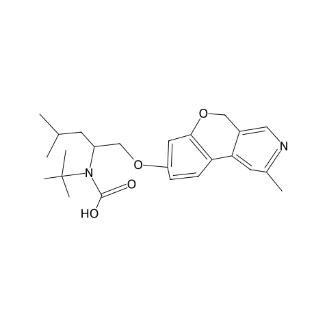 Cc1cc2c(cn1)COc1cc(OCC(CC(C)C)N(C(=O)O)C(C)(C)C)ccc1-2